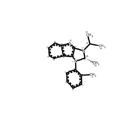 Cc1ccccc1N1c2c(sc3ccccc23)N(C(C)C)[C@@H]1C